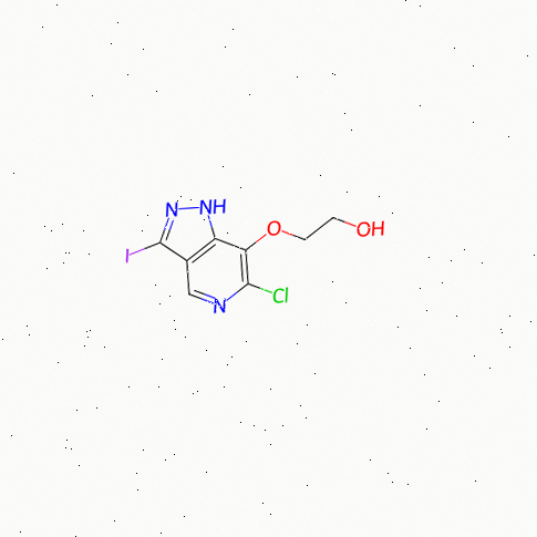 OCCOc1c(Cl)ncc2c(I)n[nH]c12